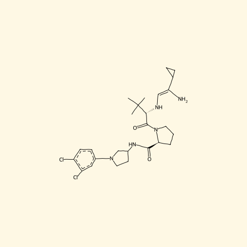 CC(C)(C)[C@H](N/C=C(\N)C1CC1)C(=O)N1CCC[C@H]1C(=O)NC1CCN(c2ccc(Cl)c(Cl)c2)C1